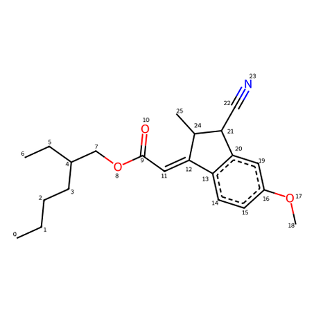 CCCCC(CC)COC(=O)C=C1c2ccc(OC)cc2C(C#N)C1C